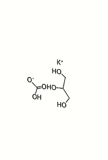 O=C([O-])O.OCC(O)CO.[K+]